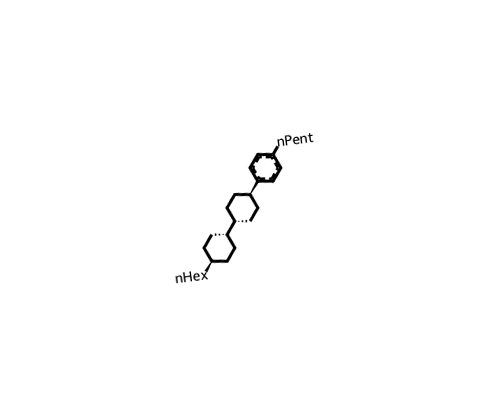 CCCCCC[C@H]1CC[C@H]([C@H]2CC[C@H](c3ccc(CCCCC)cc3)CC2)CC1